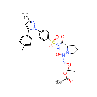 Cc1ccc(-c2cc(C(F)(F)F)nn2-c2ccc(S(=O)(=O)NC(=O)[C@@H]3CCCN3/[N+]([O-])=N\OC(C)OC(=O)C(C)(C)C)cc2)cc1